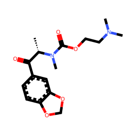 C[C@@H](C(=O)c1ccc2c(c1)OCO2)N(C)C(=O)OCCN(C)C